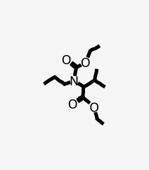 CCCN(C(=O)OCC)C(C(=O)OCC)C(C)C